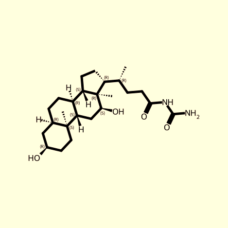 C[C@H](CCC(=O)NC(N)=O)[C@H]1CC[C@H]2[C@@H]3CC[C@@H]4C[C@H](O)CC[C@]4(C)[C@H]3C[C@H](O)[C@]12C